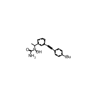 CC(c1cccc(C#Cc2ccc(C(C)(C)C)cc2)c1)N(O)C(N)=O